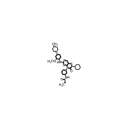 C=CC(=O)Nc1cccc(-n2c(=O)c(C3CCCCC3)nc3cnc(Nc4ccc(N5CCN(C)CC5)cc4OC)nc32)c1